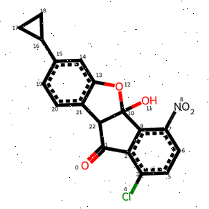 O=C1c2c(Cl)ccc([N+](=O)[O-])c2C2(O)Oc3cc(C4CC4)ccc3C12